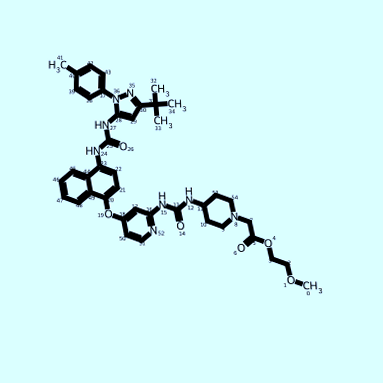 COCCOC(=O)CN1CCC(NC(=O)Nc2cc(Oc3ccc(NC(=O)Nc4cc(C(C)(C)C)nn4-c4ccc(C)cc4)c4ccccc34)ccn2)CC1